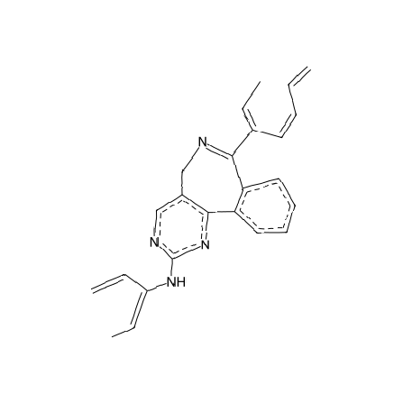 C=C/C=C\C(=C/C)C1=NCc2cnc(N/C(C=C)=C/C)nc2-c2ccccc21